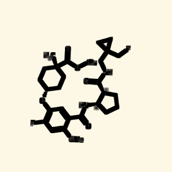 COc1cc(F)c(O[C@H]2CC[C@@](C)(C(=O)OC(C)(C)C)CC2)cc1C(=O)N[C@@H]1CCC[C@@H]1C(=O)NCC1(CF)CC1